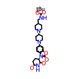 CC(C)(C)OC(=O)NCC1CCN(C2CCN(c3ccc4c(c3)oc(=O)n4C3CCC(=O)NC3=O)CC2)CC1